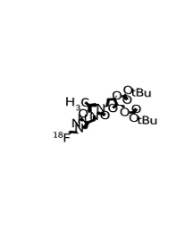 Cc1cn([C@H]2C[C@H](OC(=O)OC(C)(C)C)[C@@H](COC(=O)OC(C)(C)C)O2)c(=O)n(Cc2cn(CC[18F])nn2)c1=O